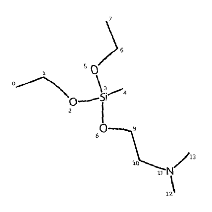 CCO[Si](C)(OCC)OCCN(C)C